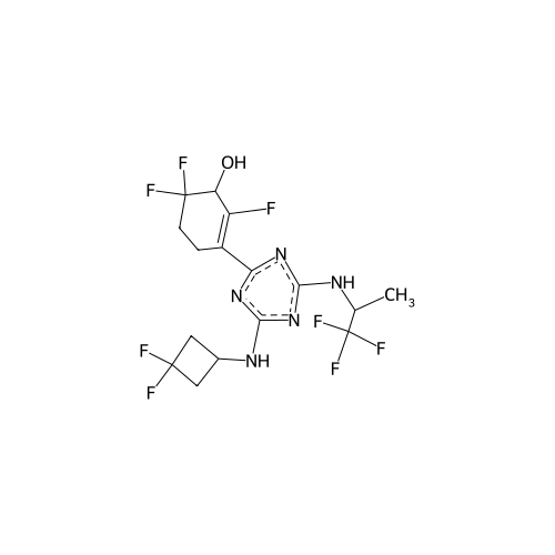 CC(Nc1nc(NC2CC(F)(F)C2)nc(C2=C(F)C(O)C(F)(F)CC2)n1)C(F)(F)F